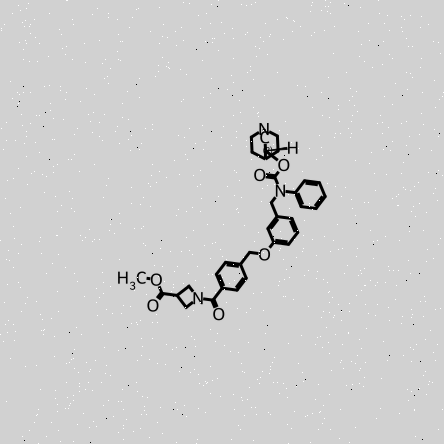 COC(=O)C1CN(C(=O)c2ccc(COc3cccc(CN(C(=O)O[C@H]4CN5CCC4CC5)c4ccccc4)c3)cc2)C1